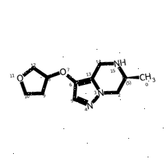 C[C@H]1Cn2ncc(OC3CCOC3)c2CN1